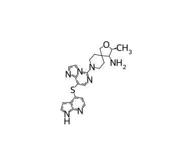 C[C@@H]1OCC2(CCN(c3ncc(Sc4ccnc5[nH]ccc45)c4nccn34)CC2)C1N